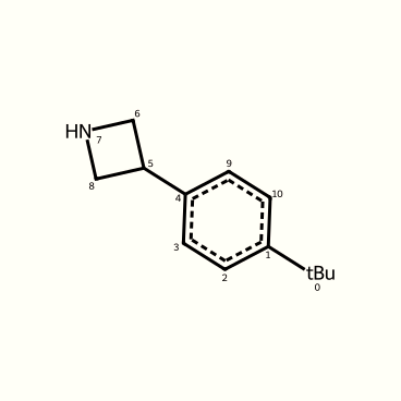 CC(C)(C)c1ccc(C2CNC2)cc1